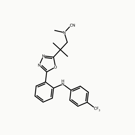 CN(C#N)CC(C)(C)c1nnc(-c2ccccc2Nc2ccc(C(F)(F)F)cc2)o1